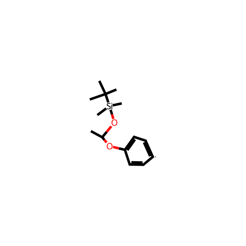 CC(Oc1cc[c]cc1)O[Si](C)(C)C(C)(C)C